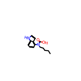 CCCCCN(C(=O)O)c1cccc2[nH]ccc12